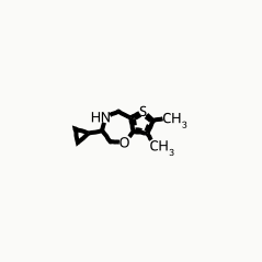 Cc1sc2c(c1C)OCC(C1CC1)NC2